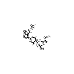 Cc1nc(-c2nnn(C)c2COC2CCO2)ccc1C1CC(O)CN(C(=O)OC(C)(C)C)C1